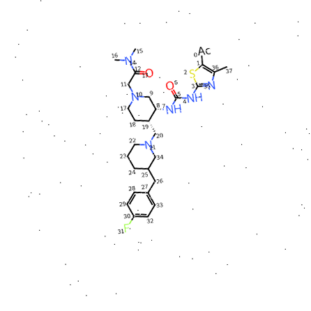 CC(=O)c1sc(NC(=O)N[C@H]2CN(CC(=O)N(C)C)CC[C@H]2CN2CCCC(Cc3ccc(F)cc3)C2)nc1C